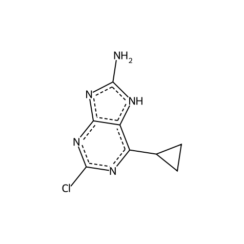 Nc1nc2nc(Cl)nc(C3CC3)c2[nH]1